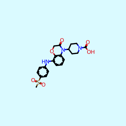 CS(=O)(=O)c1ccc(Nc2cccc3c2OCC(=O)N3C2CCN(C(=O)O)CC2)cc1